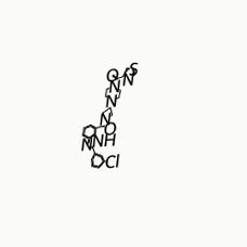 O=C(c1cscn1)N1CCN(C2CN(C(=O)c3cccc4nc(-c5cccc(Cl)c5)[nH]c34)C2)CC1